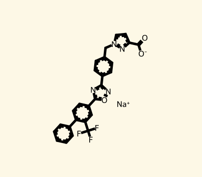 O=C([O-])c1ccn(Cc2ccc(-c3noc(-c4ccc(-c5ccccc5)c(C(F)(F)F)c4)n3)cc2)n1.[Na+]